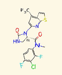 CN(C(=O)[C@@H]1CNC(=O)N1c1cc(C(F)(F)F)c2ccsc2n1)c1ccc(F)c(Cl)c1F